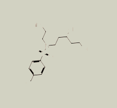 CC(C)CCN(CC[C@@H](C)CCO)S(=O)(=O)c1ccc(Cl)cc1